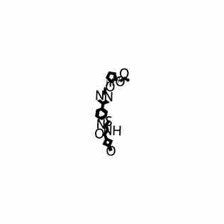 CC(=O)O[C@H]1CCC[C@@H]1OCc1ncc(-c2ccc3nc(NC(=O)C4CC(=O)C4)sc3c2)cn1